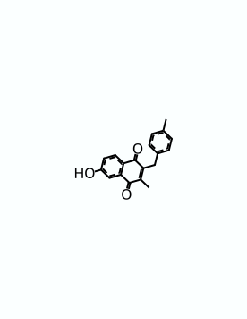 CC1=C(Cc2ccc(C)cc2)C(=O)c2ccc(O)cc2C1=O